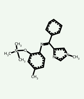 Cc1ccc(N=C(c2ccccc2)c2cn(C)cn2)c(O[Si](C)(C)C)c1